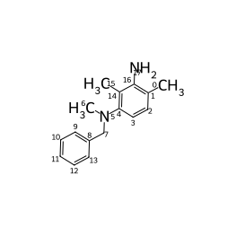 Cc1ccc(N(C)Cc2ccccc2)c(C)c1N